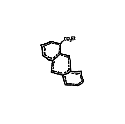 CCOC(=O)c1cccc2cc3ccccc3cc12